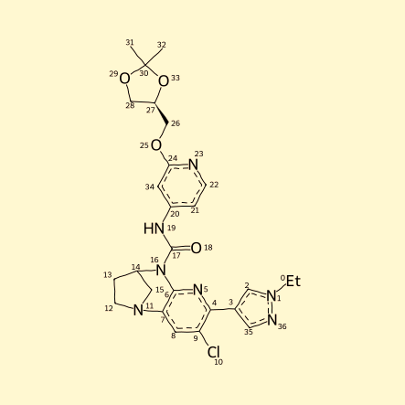 CCn1cc(-c2nc3c(cc2Cl)N2CCC(C2)N3C(=O)Nc2ccnc(OC[C@H]3COC(C)(C)O3)c2)cn1